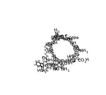 CCC(C)CCCCCCC(=O)NC(Cc1c[nH]c2ccccc12)C(=O)NC(CCC(=O)O)C(=O)NC(C(=O)NC1C(=O)N(C)CC(=O)NC(C)C(=O)NC(CC(=O)O)C(=O)NC(CC(N)=O)C(=O)NC(C(OC)C(=O)O)C(=O)NCC(=O)NC(CC(N)=O)C(=O)NC(C(C)CC(=O)O)C(=O)NC(C(C)C)C(=O)OC1C)C(O)C(N)=O